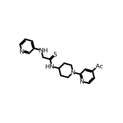 CC(=O)c1ccnc(N2CCC(NC(=S)CNc3cccnc3)CC2)c1